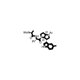 CN[C@@H](C)C(=O)N[C@H](C(=O)N1CC[C@@H]2[C@H]1[C@@H](c1c[nH]c3ccc(C)cc13)CN2C(C)=O)C(C)C